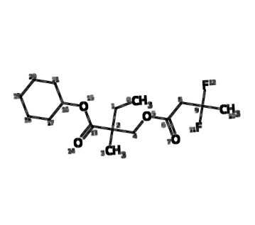 CCC(C)(COC(=O)CC(C)(F)F)C(=O)OC1CCCCC1